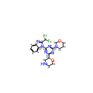 FC(F)c1nc2ccccc2n1-c1nc(C2CNCCO2)nc(N2CCCOC2)n1